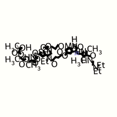 CCN(CC)CCNC(=O)c1c(C)[nH]c(/C=C2\C(=O)Nc3ccc(OC(=O)CCC(=O)N(CC)[C@H]4CN(CCCOC)S(=O)(=O)c5sc(S(=O)(=O)NC(=O)[C@H](C)OC(=O)[C@H](C)OC(=O)[C@H](C)O)cc54)cc32)c1C